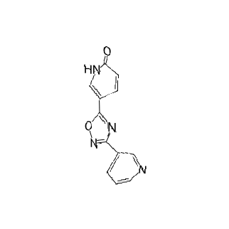 O=c1ccc(-c2nc(-c3cccnc3)no2)c[nH]1